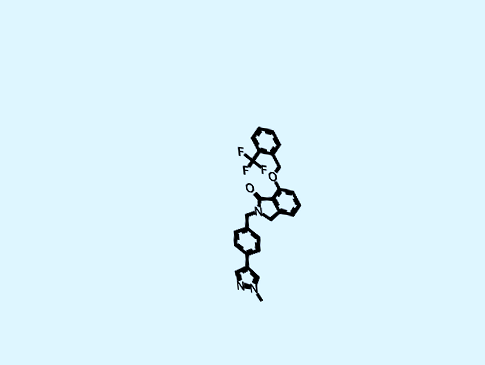 Cn1cc(-c2ccc(CN3Cc4cccc(OCc5ccccc5C(F)(F)F)c4C3=O)cc2)cn1